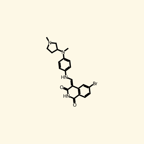 CN1CCC(N(C)c2ccc(NC=C3C(=O)NC(=O)c4ccc(Br)cc43)cc2)C1